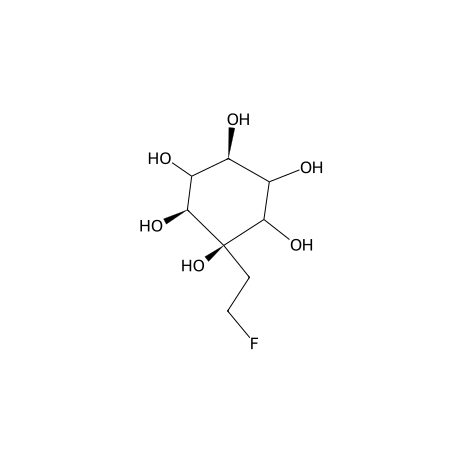 OC1C(O)[C@](O)(CCF)[C@@H](O)C(O)[C@H]1O